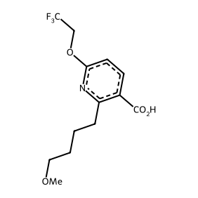 COCCCCc1nc(OCC(F)(F)F)ccc1C(=O)O